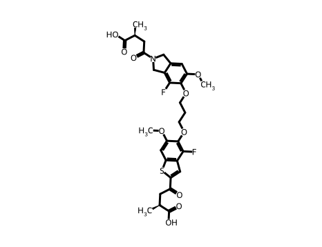 COc1cc2c(c(F)c1OCCCOc1c(OC)cc3sc(C(=O)C[C@H](C)C(=O)O)cc3c1F)CN(C(=O)C[C@H](C)C(=O)O)C2